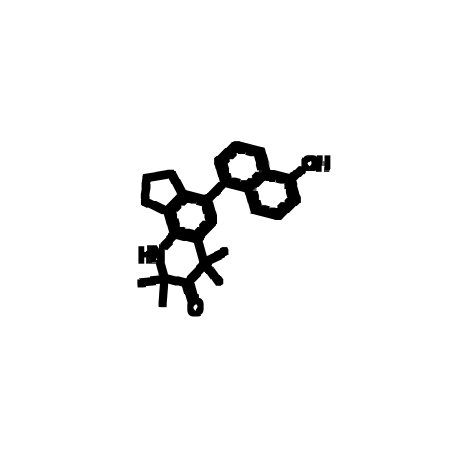 CC1(C)Nc2c(cc(-c3cccc4c(O)cccc34)c3c2CCC3)C(C)(C)C1=O